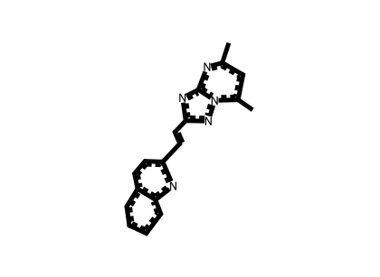 Cc1cc(C)n2nc(/C=C/c3ccc4ccccc4n3)nc2n1